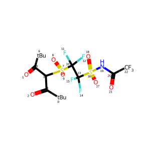 CC(C)(C)C(=O)C(C(=O)C(C)(C)C)S(=O)(=O)C(F)(F)C(F)(F)S(=O)(=O)NC(=O)C(F)(F)F